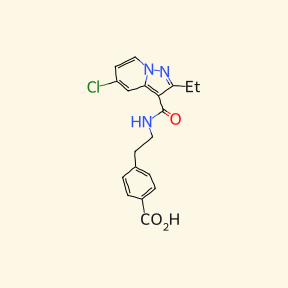 CCc1nn2ccc(Cl)cc2c1C(=O)NCCc1ccc(C(=O)O)cc1